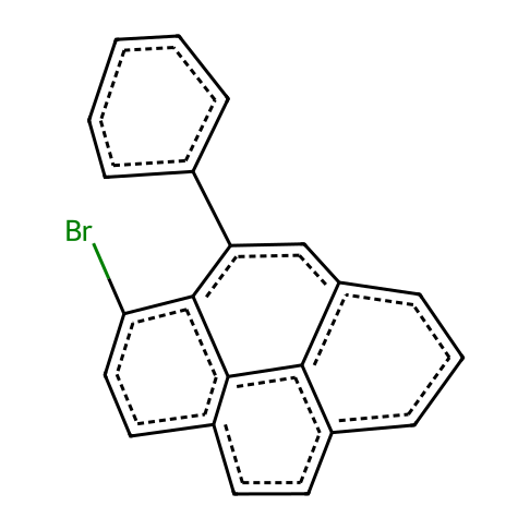 Brc1ccc2ccc3cccc4cc(-c5ccccc5)c1c2c34